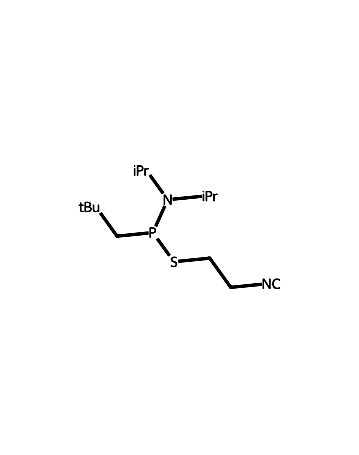 [C-]#[N+]CCSP(CC(C)(C)C)N(C(C)C)C(C)C